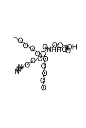 CCCOCCOCCOCCOc1cc(C(=O)NCCOc2ccc(CP(=O)(O)O)cc2)cc(OCCOCCOCCOCCOC)c1OCCOCCOCCN=[N+]=[N-]